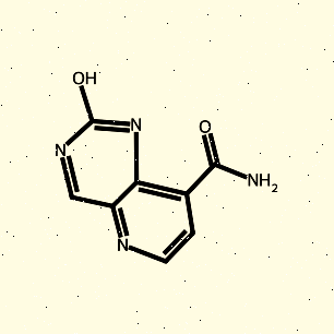 NC(=O)c1ccnc2cnc(O)nc12